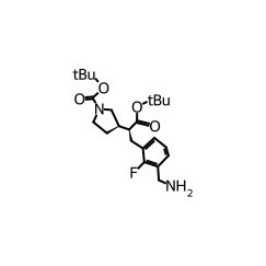 CC(C)(C)OC(=O)[C@@H](Cc1cccc(CN)c1F)[C@H]1CCN(C(=O)OC(C)(C)C)C1